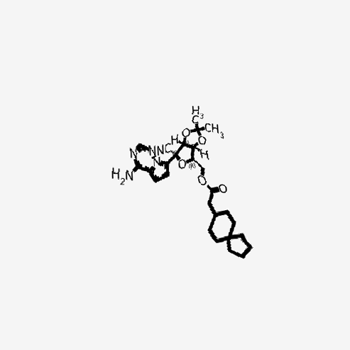 CC1(C)O[C@H]2[C@@H](O1)[C@](C#N)(c1ccc3c(N)ncnn13)O[C@@H]2COC(=O)CC1CCC2(CCCC2)CC1